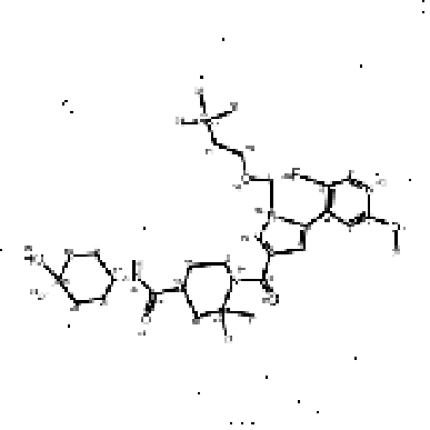 COc1cc(-c2cc(C(=O)N3CCC(C(=O)N[C@H]4CC[C@](C)(O)CC4)CC3(C)C)nn2COCC[Si](C)(C)C)c(F)cn1